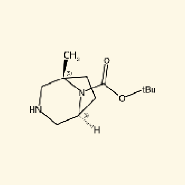 CC(C)(C)OC(=O)N1[C@H]2CC[C@@]1(C)CNC2